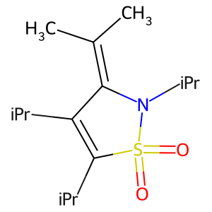 CC(C)=C1C(C(C)C)=C(C(C)C)S(=O)(=O)N1C(C)C